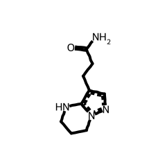 NC(=O)CCc1cnn2c1NCCC2